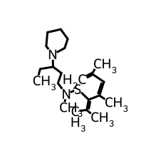 C=C(C)/C=C(/C)C(SN(C)CCC(CC)N1CCCCC1)=C(C)C